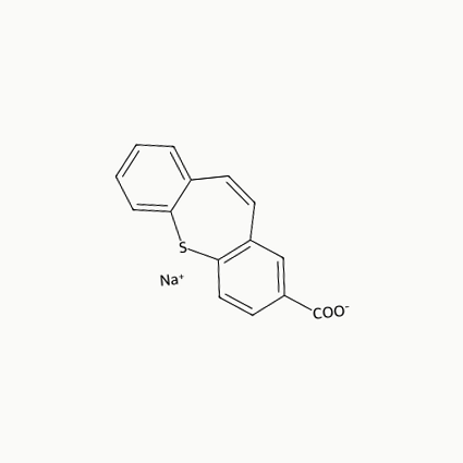 O=C([O-])c1ccc2c(c1)C=Cc1ccccc1S2.[Na+]